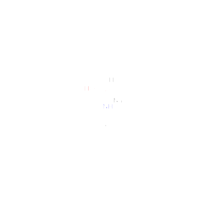 CCNP(O)(=S)OC.[Na]